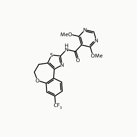 COc1ncnc(OC)c1C(=O)Nc1nc2c(s1)CCOc1cc(C(F)(F)F)ccc1-2